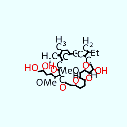 C=C(CC)C1CCC2CC(CC3OC(CC(O)CO)[C@H](OC)C3CC(=O)CC3CCC4O[C@H]5C(O)C(C1)OC5C(OC)[C@H]4O3)C(=C)[C@H](C)C2